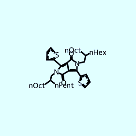 CCCCCCCCC(CCCCC)CN1C(=O)C2=C(c3cccs3)N(CC(CCCCCC)CCCCCCCC)C(=O)C2=C1c1cccs1